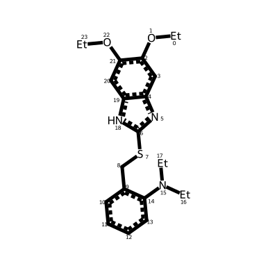 CCOc1cc2nc(SCc3ccccc3N(CC)CC)[nH]c2cc1OCC